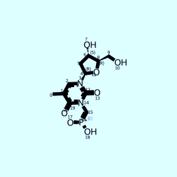 Cc1cn([C@H]2C[C@H](O)[C@@H](CO)O2)c(=O)n(/C=[P+](\[O-])O)c1=O